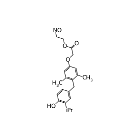 Cc1cc(OCC(=O)OCCN=O)cc(C)c1Cc1ccc(O)c(C(C)C)c1